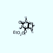 CCOC(C)=O.Cn1c(=O)c2c(ncn2C)n(C)c1=O